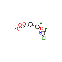 CCOC(=O)CC(=O)Cc1cccc(-c2ccc(Oc3ncc(Cl)cc3F)c(F)c2)c1